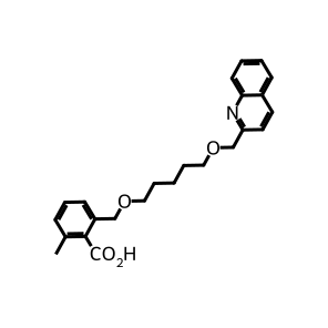 Cc1cccc(COCCCCCOCc2ccc3ccccc3n2)c1C(=O)O